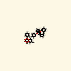 Cc1cc(N(c2ccc(C3C=CC4=C(C3)c3c5cccc3-c3cccc4c3-c3ccccc3-5)cc2)c2ccccc2-c2ccccc2)c2ccccc2c1